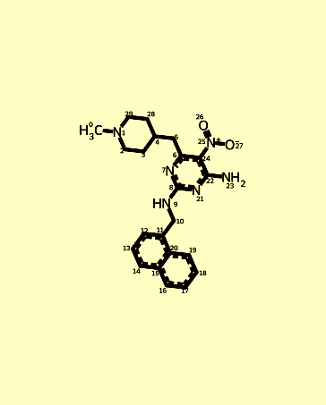 CN1CCC(Cc2nc(NCc3cccc4ccccc34)nc(N)c2[N+](=O)[O-])CC1